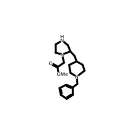 COC(=O)CN1[CH]CNCC1CC1CCN(Cc2ccccc2)CC1